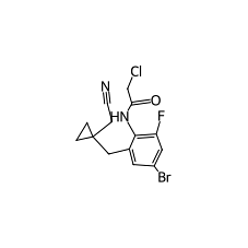 N#CCC1(Cc2cc(Br)cc(F)c2NC(=O)CCl)CC1